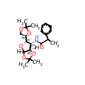 CC(C(=O)N[C@@H]1[C@H]2OC(C)(C)O[C@H]2O[C@@H]1[C@H]1COC(C)(C)O1)c1ccccc1